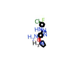 CN1C2CCC1CC(Oc1cc3ncnc(Nc4ccc(F)c(Cl)c4)c3cc1N)C2